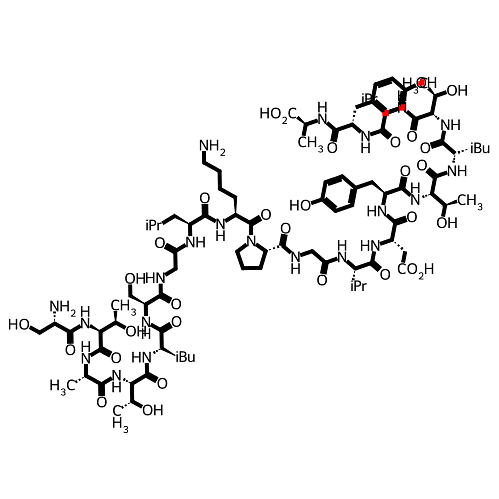 CC[C@H](C)[C@H](NC(=O)[C@@H](NC(=O)[C@H](C)NC(=O)[C@@H](NC(=O)[C@@H](N)CO)[C@@H](C)O)[C@@H](C)O)C(=O)N[C@@H](CO)C(=O)NCC(=O)N[C@@H](CC(C)C)C(=O)N[C@@H](CCCCN)C(=O)N1CCC[C@H]1C(=O)NCC(=O)N[C@H](C(=O)N[C@@H](CC(=O)O)C(=O)N[C@@H](Cc1ccc(O)cc1)C(=O)N[C@H](C(=O)N[C@H](C(=O)N[C@H](C(=O)N[C@H](C(=O)N[C@@H](Cc1ccc(O)cc1)C(=O)N[C@@H](C)C(=O)O)C(C)C)[C@@H](C)O)[C@@H](C)CC)[C@@H](C)O)C(C)C